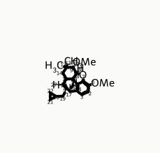 COc1ccc2c3c1O[C@H]1C(OC)C(C)(C)CC4[C@@H](C2)N(CC2CC2)CC[C@@]341